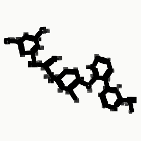 CNc1nccc(-c2cccnc2Oc2ccc(NC(=O)Nc3cc(Cl)cc(Cl)c3)cc2C)n1